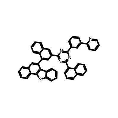 c1ccc(-c2cccc(-c3nc(-c4cc(-c5cc6ccccc6c6sc7ccccc7c56)c5ccccc5c4)nc(-c4cccc5ccccc45)n3)c2)nc1